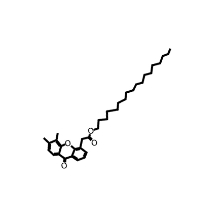 CCCCCCCCCCCCCCCCCCOC(=O)Cc1cccc2c(=O)c3ccc(C)c(C)c3oc12